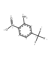 Nc1cc(C(F)(F)F)ccc1[N+](=O)[O-]